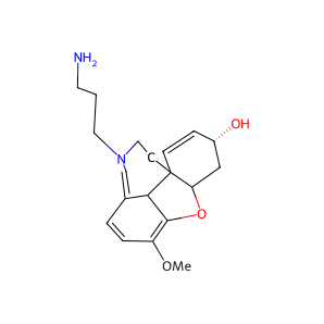 COC1=C2OC3C[C@@H](O)C=CC34CCN(CCCN)C=C(C=C1)C24